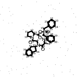 C[C@H](N)C(=O)N(CC(=O)N1CCC[C@H]1C(=O)OP(=O)(Cc1ccccc1)Cc1ccccc1)C1Cc2ccccc2C1